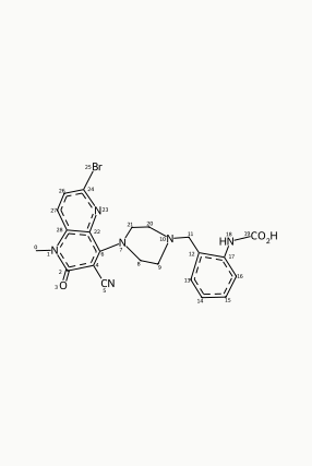 Cn1c(=O)c(C#N)c(N2CCN(Cc3ccccc3NC(=O)O)CC2)c2nc(Br)ccc21